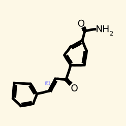 NC(=O)c1ccc(C(=O)/C=C/c2ccccc2)cc1